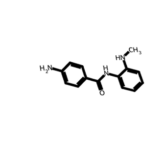 CNc1ccccc1NC(=O)c1ccc(N)cc1